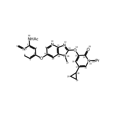 C=N/C(=C\C(=C/C)Oc1cnc2nc(Oc3cc(C4CC4)cn(C(C)C)c3=O)n(C)c2c1)NC(C)=O